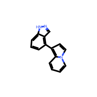 [c]1n[nH]c2cccc(-c3ccn4ccccc34)c12